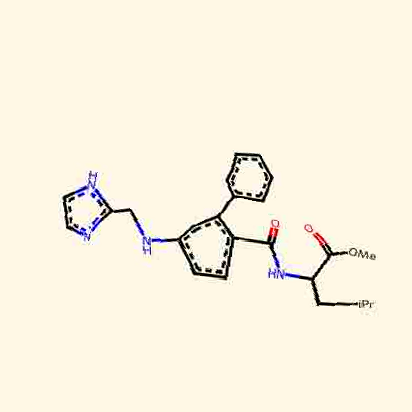 COC(=O)C(CC(C)C)NC(=O)c1ccc(NCc2ncc[nH]2)cc1-c1ccccc1